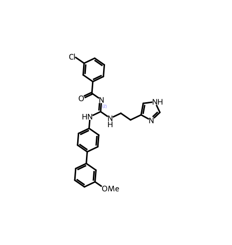 COc1cccc(-c2ccc(N/C(=N\C(=O)c3cccc(Cl)c3)NCCc3c[nH]cn3)cc2)c1